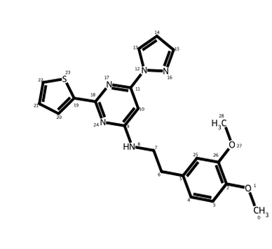 COc1ccc(CCNc2cc(-n3cccn3)nc(-c3cccs3)n2)cc1OC